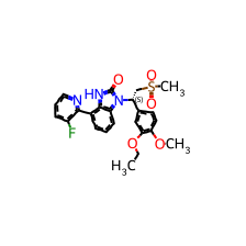 CCOc1cc([C@@H](CS(C)(=O)=O)n2c(=O)[nH]c3c(-c4ncccc4F)cccc32)ccc1OC